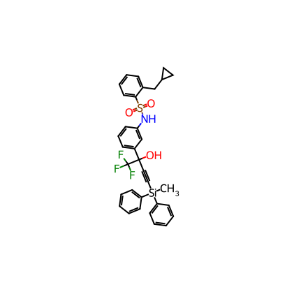 C[Si](C#CC(O)(c1cccc(NS(=O)(=O)c2ccccc2CC2CC2)c1)C(F)(F)F)(c1ccccc1)c1ccccc1